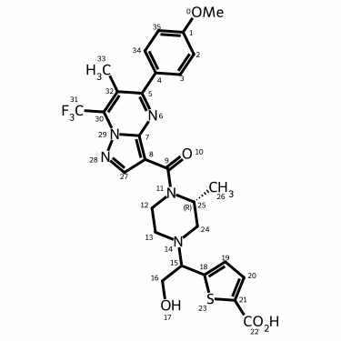 COc1ccc(-c2nc3c(C(=O)N4CCN(C(CO)c5ccc(C(=O)O)s5)C[C@H]4C)cnn3c(C(F)(F)F)c2C)cc1